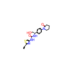 C#Cc1nc(NC(=O)N[C@@H](CO)c2ccc(N3CCCCC3=O)cc2)cs1